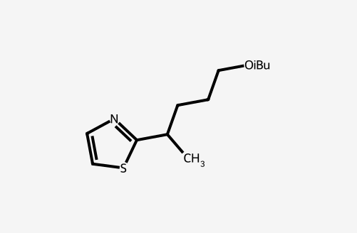 [CH2]C(C)COCCCC(C)c1nccs1